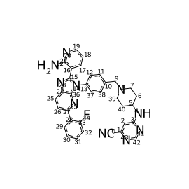 N#Cc1cc(NC2CCN(Cc3ccc(-n4c(-c5cccnc5N)nc5ccc(-c6ccccc6F)nc54)cc3)CC2)ncn1